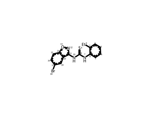 CCc1ccccc1NC(=S)Nc1noc2ccc(Br)cc12